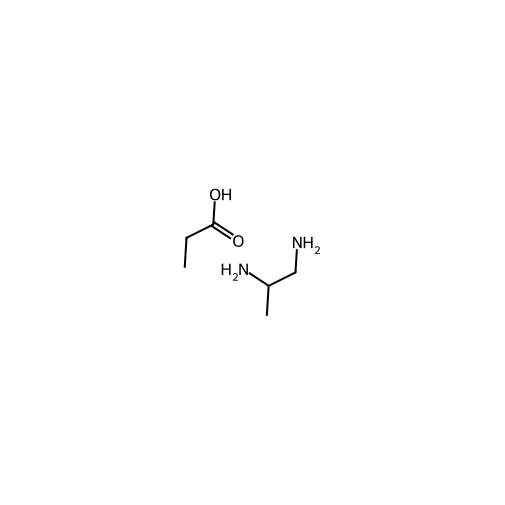 CC(N)CN.CCC(=O)O